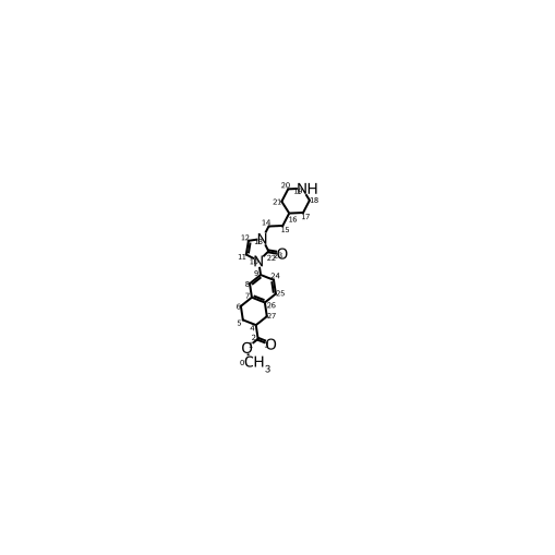 COC(=O)C1CCc2cc(-n3ccn(CCC4CCNCC4)c3=O)ccc2C1